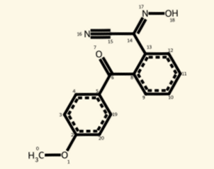 COc1ccc(C(=O)c2ccccc2/C(C#N)=N\O)cc1